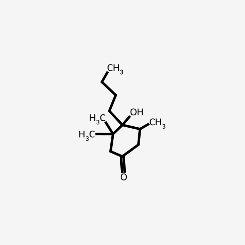 CCCCC1(O)C(C)CC(=O)CC1(C)C